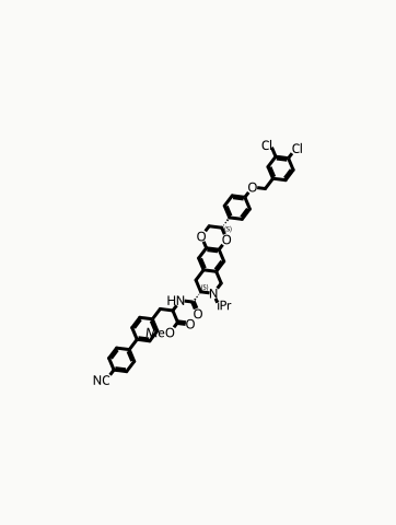 COC(=O)C(Cc1ccc(-c2ccc(C#N)cc2)cc1)NC(=O)[C@@H]1Cc2cc3c(cc2CN1C(C)C)O[C@@H](c1ccc(OCc2ccc(Cl)c(Cl)c2)cc1)CO3